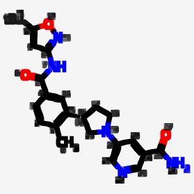 Cc1ccc(C(=O)Nc2cc(C(C)(C)C)on2)cc1[C@@H]1CCN(c2cncc(C(N)=O)c2)C1